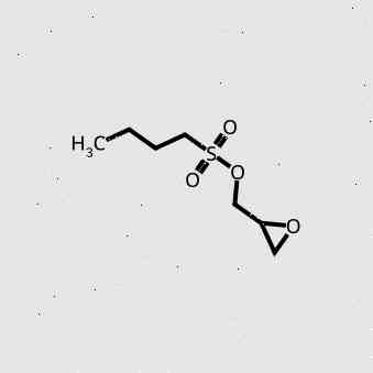 CCCCS(=O)(=O)OCC1CO1